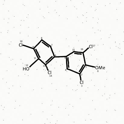 COc1c(Cl)cc(-c2[c]cc(Cl)c(O)c2Cl)cc1Cl